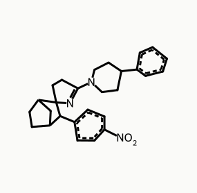 O=[N+]([O-])c1ccc(C2C3CCC(C3)C23CCC(N2CCC(c4ccccc4)CC2)=N3)cc1